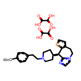 COc1ccc(CCN2CCC(=C3c4sccc4CCn4ccnc43)CC2)cc1.O=C(O)C(=O)O.O=C(O)C(=O)O